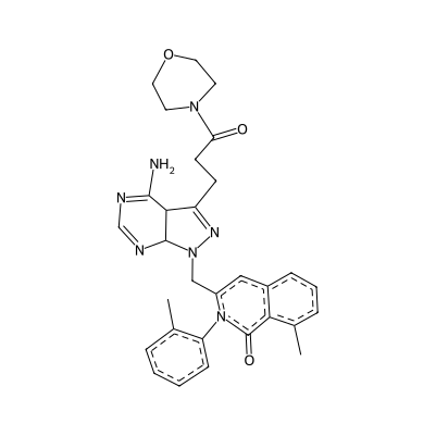 Cc1ccccc1-n1c(CN2N=C(CCC(=O)N3CCOCC3)C3C(N)=NC=NC32)cc2cccc(C)c2c1=O